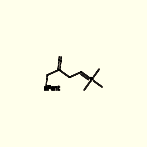 C=C(CC=P(C)(C)C)CCCCCC